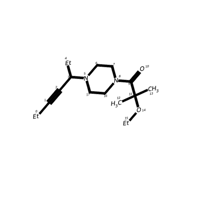 CCC#CC(CC)N1CCN(C(=O)C(C)(C)OCC)CC1